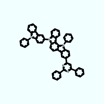 c1ccc(-c2cc(-c3ccc4c(c3)c3ccc5c(c6ccccc6n5-c5ccc6c(c5)c5ccccc5n6-c5ccccc5)c3n4-c3ccccc3)nc(-c3ccccc3)n2)cc1